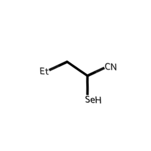 [CH2]CCC([SeH])C#N